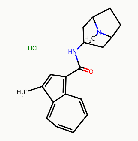 Cc1cc(C(=O)NC2CC3CCC(C2)N3C)c2cccccc1-2.Cl